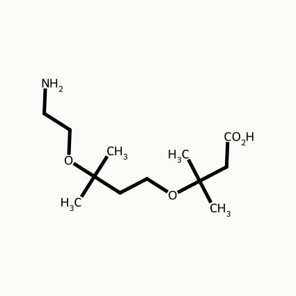 CC(C)(CCOC(C)(C)CC(=O)O)OCCN